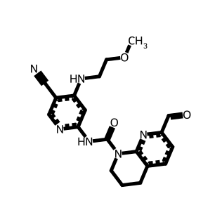 COCCNc1cc(NC(=O)N2CCCc3ccc(C=O)nc32)ncc1C#N